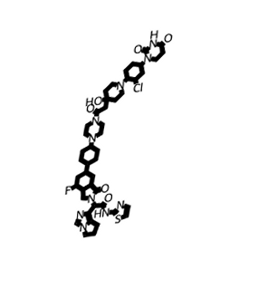 O=C1CCN(C2CCC(N3CCC(O)(CC(=O)N4CCN(C5CCC(C6CC(F)C7CN(C(C(=O)Nc8nccs8)c8ncn9c8CCC9)C(=O)C7C6)CC5)CC4)CC3)C(Cl)C2)C(=O)N1